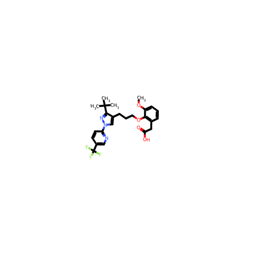 COc1cccc(CC(=O)O)c1OCCCc1cn(-c2ccc(C(F)(F)F)cn2)nc1C(C)(C)C